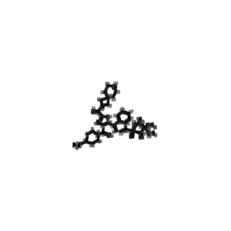 CC1CCN(C(=O)c2nc(C(=O)N3CC4(CCOCC4)C3)sc2-c2ccc(S(=O)(=O)NC(C)(C)C)c3ccccc23)CC1